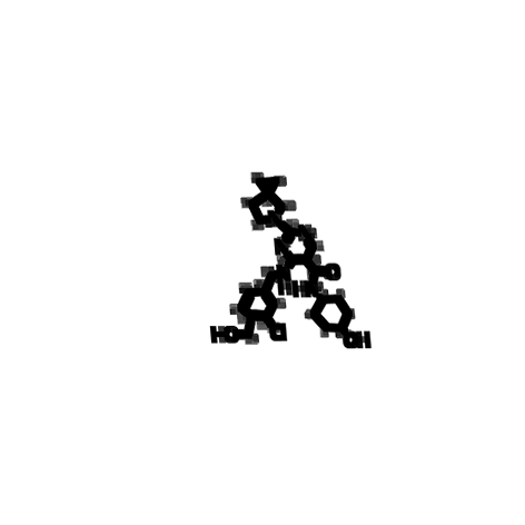 O=C(N[C@H]1CC[C@H](O)CC1)c1cnc(N2CCC3(CC3)C2)nc1NCc1ccc(CO)c(Cl)c1